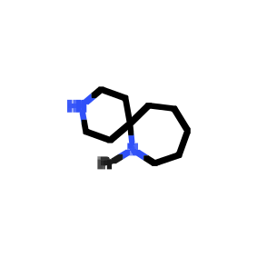 CC(C)N1CCCCCC12CCNCC2